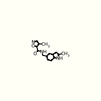 Cc1cc2cc(CNC(=O)c3oncc3C)ccc2[nH]1